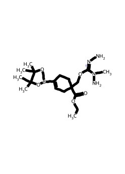 CCOC(=O)C1(CO/C(=N/N)N(C)N)CC=C(B2OC(C)(C)C(C)(C)O2)CC1